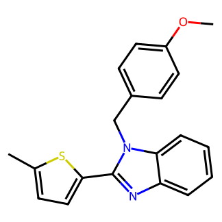 COc1ccc(Cn2c(-c3ccc(C)s3)nc3ccccc32)cc1